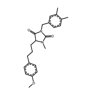 COc1ccc(CCCC2C(=O)N(Cc3ccc(C)c(C)c3)C(=O)N2C)cc1